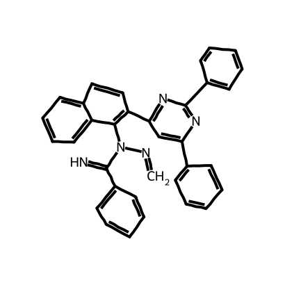 C=NN(C(=N)c1ccccc1)c1c(-c2cc(-c3ccccc3)nc(-c3ccccc3)n2)ccc2ccccc12